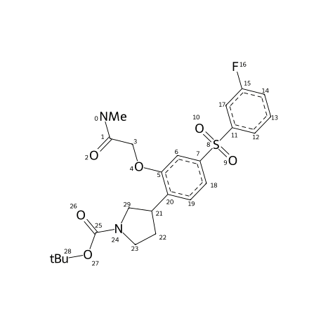 CNC(=O)COc1cc(S(=O)(=O)c2cccc(F)c2)ccc1C1CCN(C(=O)OC(C)(C)C)C1